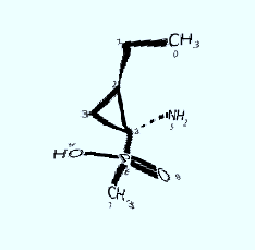 CC[C@@H]1C[C@]1(N)P(C)(=O)O